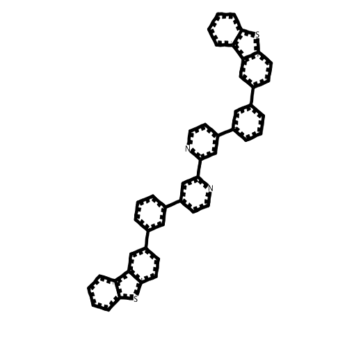 c1cc(-c2ccnc(-c3cc(-c4cccc(-c5ccc6sc7ccccc7c6c5)c4)ccn3)c2)cc(-c2ccc3sc4ccccc4c3c2)c1